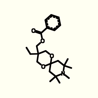 CCC1(COC(=O)c2ccccc2)COC2(CC(C)(C)N(C)C(C)(C)C2)OC1